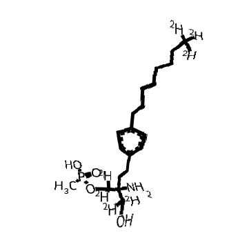 [2H]C([2H])([2H])CCCCCCCc1ccc(CCC(N)(C([2H])([2H])O)C([2H])([2H])OP(C)(=O)O)cc1